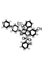 CCOc1ccccc1C1(C(=O)NN2CCN(c3ccncc3)CC2)C(=O)N(S(=O)(=O)c2ccccc2F)c2ccc(C#N)cc21